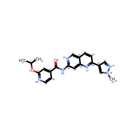 CC(C)Oc1cc(C(=O)Nc2cc3nc(-c4cnn(C)c4)ccc3cn2)ccn1